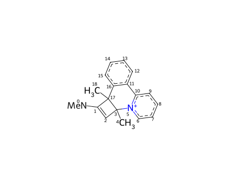 CNC1=CC2(C)[n+]3ccccc3-c3ccccc3C12C